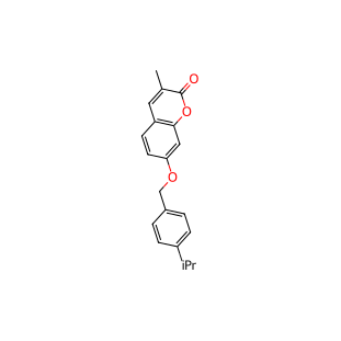 Cc1cc2ccc(OCc3ccc(C(C)C)cc3)cc2oc1=O